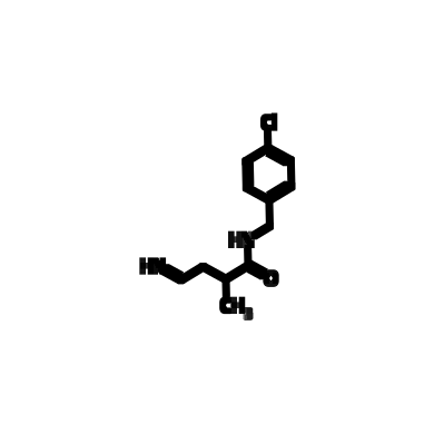 CC(CC=N)C(=O)NCc1ccc(Cl)cc1